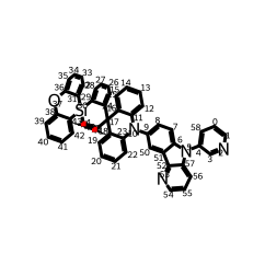 c1cncc(-n2c3ccc(N4c5ccccc5C5(c6ccccc64)c4ccccc4[Si]4(c6ccccc6Oc6ccccc64)c4ccccc45)cc3c3ncccc32)c1